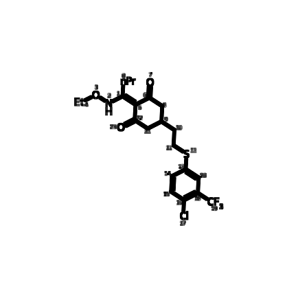 CCCC(NOCC)=C1C(=O)CC(CCSc2ccc(Cl)c(C(F)(F)F)c2)CC1=O